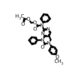 COc1ccc(N2Cc3cnc(N(C(=O)OCOC(C)=O)c4ccccc4)nc3N(c3ccccc3)C2=O)cc1